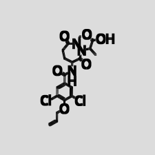 C=CCOc1c(Cl)cc(C(=O)NC2CCC(=O)N(C)N(C(C)C(=O)O)C2=O)cc1Cl